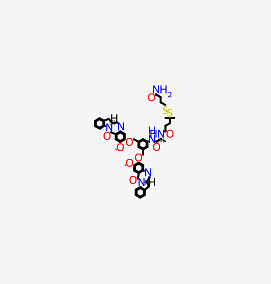 COc1cc2c(cc1OCc1cc(COc3cc4c(cc3OC)C(=O)N3c5ccccc5C[C@H]3C=N4)cc(NC(=O)[C@H](C)NC(=O)CCC(C)(C)SSCCCC(N)=O)c1)N=C[C@@H]1Cc3ccccc3N1C2=O